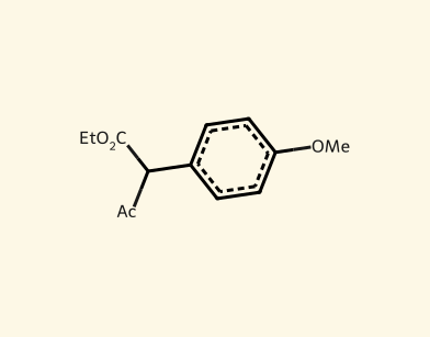 CCOC(=O)C(C(C)=O)c1ccc(OC)cc1